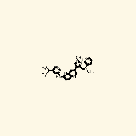 CC(C)c1cnnc(Nc2ccc3ncc(-c4cn(C)nc4CN(C)c4cccnc4)cc3n2)c1